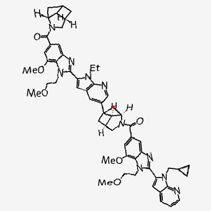 CCn1c(-c2nc3cc(C(=O)N4C[C@H]5CC6C[C@@H]4[C@H]65)cc(OC)c3n2CCOC)cc2cc(C34C[C@@H]5CN(C(=O)c6cc(OC)c7c(c6)nc(-c6cc8cccnc8n6CC6CC6)n7CCOC)[C@H](C3)[C@@H]54)cnc21